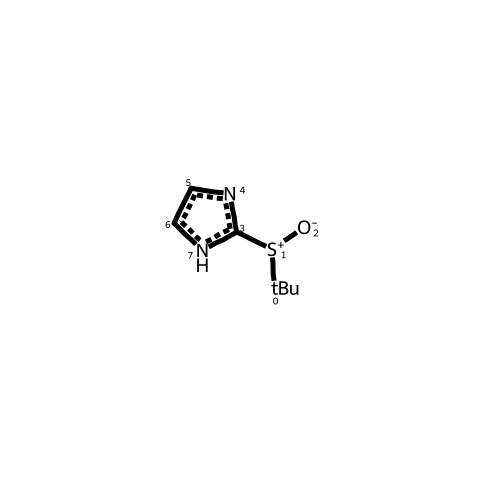 CC(C)(C)[S+]([O-])c1ncc[nH]1